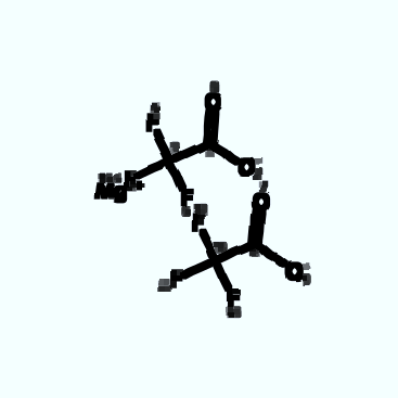 O=C([O-])C(F)(F)F.O=C([O-])C(F)(F)F.[Mg+2]